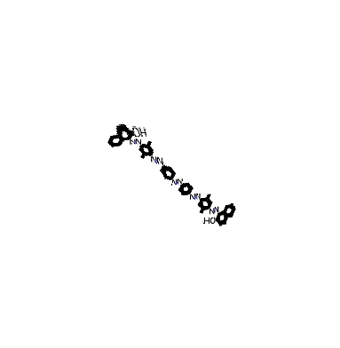 Cc1cc(/N=N/c2c(O)ccc3ccccc23)c(C)cc1/N=N/c1ccc(/N=N/c2ccc(/N=N/c3cc(C)c(/N=N/c4c(O)ccc5ccccc45)cc3C)cc2)cc1